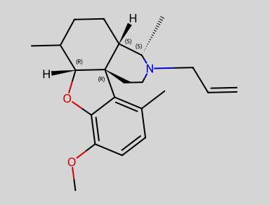 C=CCN1CC[C@@]23c4c(C)ccc(OC)c4O[C@@H]2C(C)CC[C@@H]3[C@@H]1C